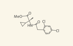 COC(=O)[C@](C)(NC(=O)Cc1ccc(Cl)cc1Cl)C1CC1